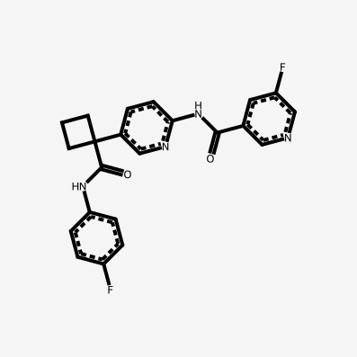 O=C(Nc1ccc(C2(C(=O)Nc3ccc(F)cc3)CCC2)cn1)c1cncc(F)c1